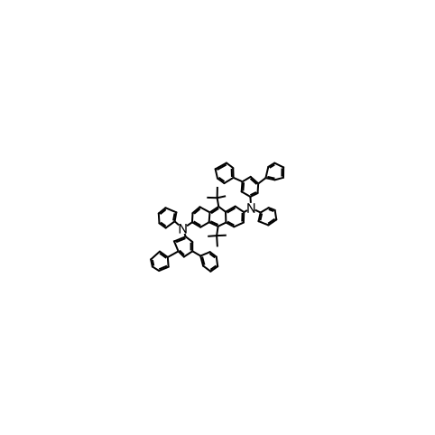 CC(C)(C)c1c2ccc(N(c3ccccc3)c3cc(-c4ccccc4)cc(-c4ccccc4)c3)cc2c(C(C)(C)C)c2ccc(N(c3ccccc3)c3cc(-c4ccccc4)cc(-c4ccccc4)c3)cc12